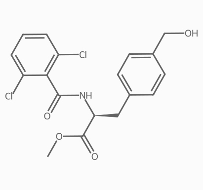 COC(=O)[C@H](Cc1ccc(CO)cc1)NC(=O)c1c(Cl)cccc1Cl